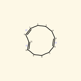 C1=C\CCC/C=C\CCC/C=C/1